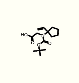 C=CC1(N(CC(=O)O)C(=O)OC(C)(C)C)CCCC1